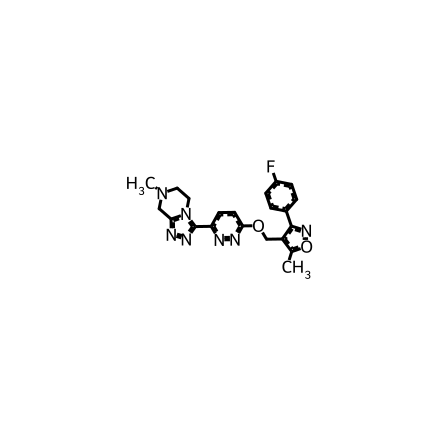 Cc1onc(-c2ccc(F)cc2)c1COc1ccc(-c2nnc3n2CCN(C)C3)nn1